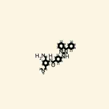 CN(C)Cc1ccc(CN)c(NC(=O)c2ccc(Nc3nc(-c4ccccc4)c4ccccc4n3)cc2)c1